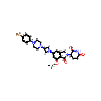 COc1cc(N2CC(N3CCN(c4ccc(Br)cc4)CC3)C2)cc2c1C(=O)N(C1CCC(=O)NC1=O)C2